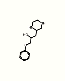 OC(COc1ccccc1)CC1CNCCN1